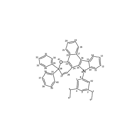 CCc1cc(CC)cc(-n2c3ccccc3c3c4ccccc4c4c(c32)C=CC(c2ccccc2)(c2ccccc2)O4)c1